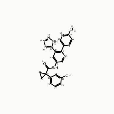 O=C(Nc1cnc(-c2ccc(C(F)(F)F)nc2)c(-c2nnn[nH]2)c1)C1(c2cccc(Cl)c2)CC1